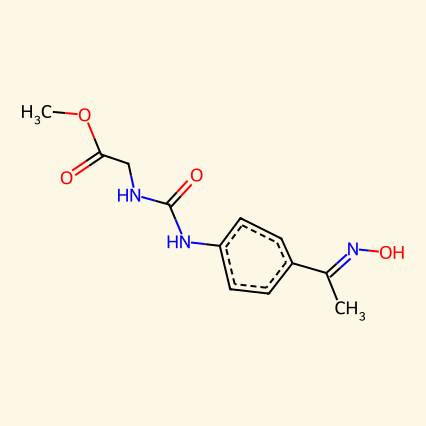 COC(=O)CNC(=O)Nc1ccc(C(C)=NO)cc1